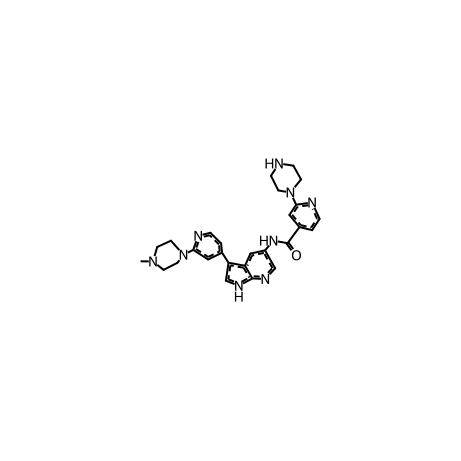 CN1CCN(c2cc(-c3c[nH]c4ncc(NC(=O)c5ccnc(N6CCNCC6)c5)cc34)ccn2)CC1